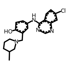 CC1CCCN(Cc2cc(Nc3ncnc4cc(Cl)ccc34)ccc2O)C1